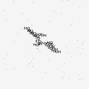 CCC(CC(CC(CC)c1ccc(O)c(C(C)c2cc(C(C)c3ccc(O)c(C)c3)c(O)c(C(C)c3ccc(O)c(C(C)c4ccc(O)cc4)c3)c2)c1)c1ccc(O)cc1)c1ccc(O)c(C(C)c2ccc(O)c(C(C)c3cc(C(C)c4ccc(O)cc4)c(O)c(C(C)c4ccc(O)cc4)c3)c2)c1